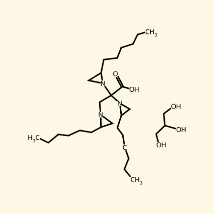 CCCCCCC1CN1CC(C(=O)O)(N1CC1CCCCCC)N1CC1CCCCCC.OCC(O)CO